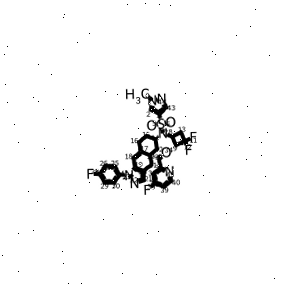 Cn1cc(S(=O)(=O)N(C2CC(F)(F)C2)[C@H]2CCC3=Cc4c(cnn4-c4ccc(F)cc4)C[C@]3(C(=O)c3cc(F)ccn3)C2)cn1